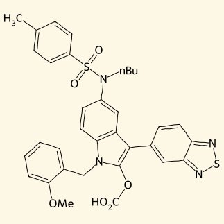 CCCCN(c1ccc2c(c1)c(-c1ccc3nsnc3c1)c(OC(=O)O)n2Cc1ccccc1OC)S(=O)(=O)c1ccc(C)cc1